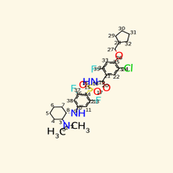 CN(C)[C@H]1CCCC[C@@H]1Nc1cc(F)c(S(=O)(=O)NC(=O)c2cc(Cl)c(OCC3CCCC3)cc2F)c(F)c1